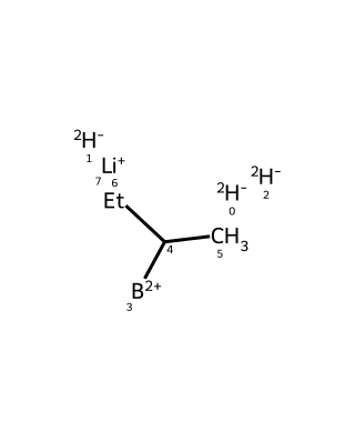 [2H-].[2H-].[2H-].[B+2]C(C)CC.[Li+]